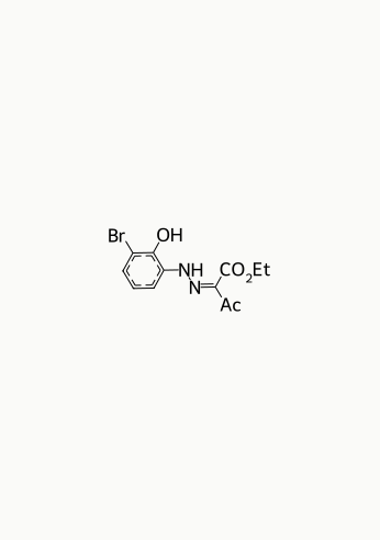 CCOC(=O)/C(=N\Nc1cccc(Br)c1O)C(C)=O